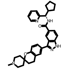 CN1CCC2(CCc3cc(-c4n[nH]c5ccc(C(=O)N[C@H](c6ccccn6)C6CCCC6)cc45)ccc3O2)CC1